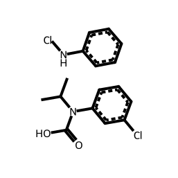 CC(C)N(C(=O)O)c1cccc(Cl)c1.ClNc1ccccc1